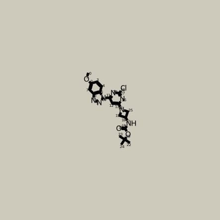 COc1ccc2c(c1)nnn2-c1cc(N2CC(NC(=O)OC(C)(C)C)C2)nc(Cl)n1